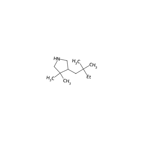 CCC(C)(C)CC1CNCC1(C)C